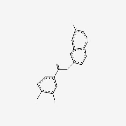 O=C(Cc1ccc2ncc(Br)cc2c1)c1ccc(F)c(F)c1